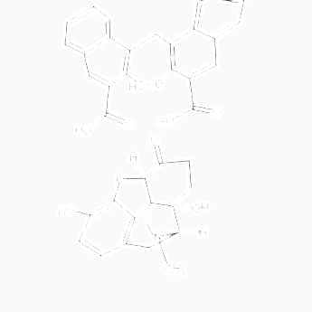 CN1CC[C@]23c4c5ccc(O)c4O[C@H]2C(=O)CC[C@@]3(O)[C@H]1C5.O=C(O)c1cc2ccccc2c(Cc2c(O)c(C(=O)O)cc3ccccc23)c1O